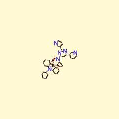 c1ccc(N2c3ccccc3[Si]3(c4ccccc42)c2ccccc2N(c2cc(-c4cccnc4)nc(-c4cccnc4)n2)c2ccccc23)cc1